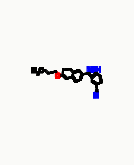 CCCCOc1ccc2cc(-c3n[nH]c4ccc(C#N)cc34)ccc2c1